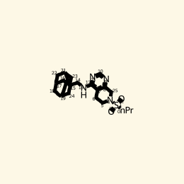 CCCS(=O)(=O)N1CCc2c(ncnc2NCC23CC4CC(CC(C4)C2)C3)C1